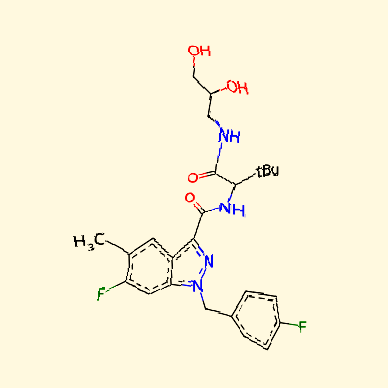 Cc1cc2c(C(=O)NC(C(=O)NCC(O)CO)C(C)(C)C)nn(Cc3ccc(F)cc3)c2cc1F